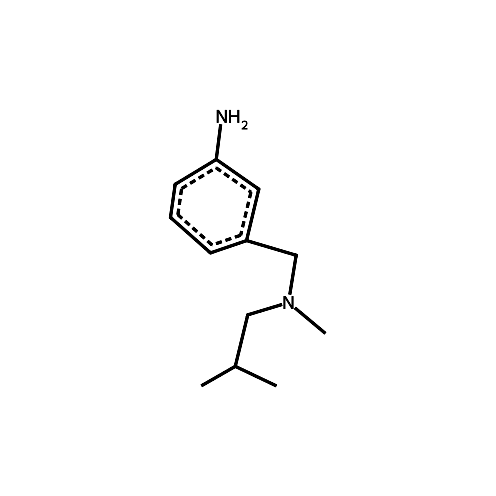 CC(C)CN(C)Cc1cccc(N)c1